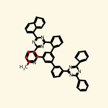 Cc1cccc(-c2cc(-c3cccc(-c4nc(-c5ccccc5)nc(-c5ccccc5)n4)c3)cc(-c3ccccc3-c3nc(-c4ccccc4)nc(-c4cccc5ccccc45)n3)c2)n1